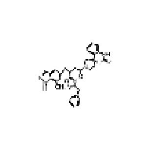 Cc1cc(CC(CC(=O)N2CCC3(CC2)OC(=O)Nc2ccccc23)c2nc(Cc3ccccc3)no2)cc2cn[nH]c12